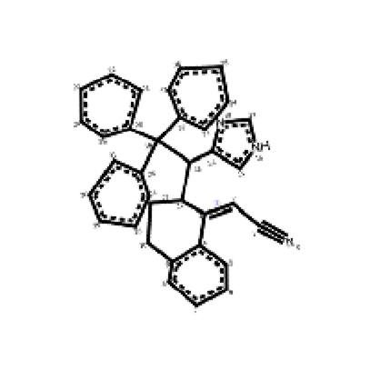 N#C/C=C1\c2ccccc2CCC1C(c1c[nH]cn1)C(c1ccccc1)(c1ccccc1)c1ccccc1